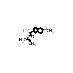 CC[C@@H](C)OC(=O)[C@@H](C)c1ccc2cc(OC)ccc2c1